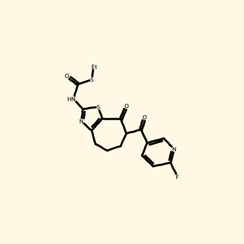 CCSC(=O)Nc1nc2c(s1)C(=O)C(C(=O)c1ccc(F)nc1)CCC2